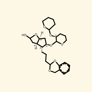 OC1C[C@@H]2[C@@H](CCCC3OCc4ccccc4O3)[C@H](OC3OCCC[C@@H]3OC3CCCCO3)C[C@@H]2O1